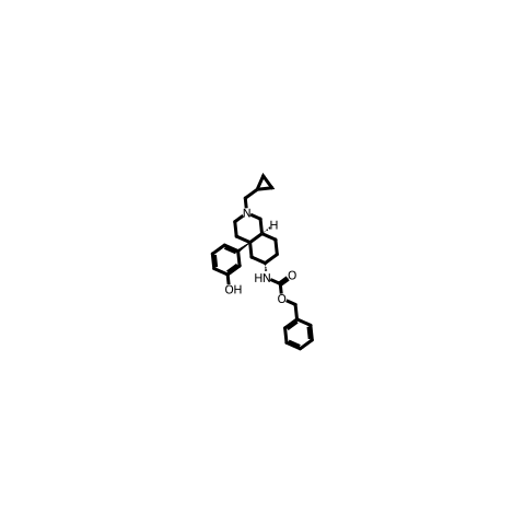 O=C(N[C@H]1CC[C@@H]2CN(CC3CC3)CC[C@@]2(c2cccc(O)c2)C1)OCc1ccccc1